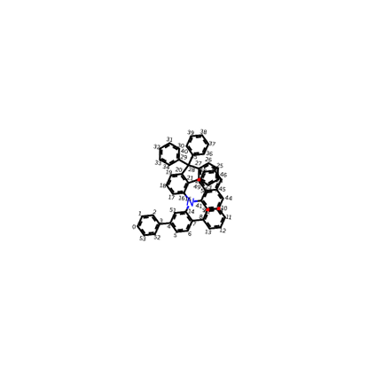 c1ccc(-c2ccc(-c3ccccc3)c(N(c3cccc4c3-c3ccccc3C4(c3ccccc3)c3ccccc3)c3cccc4ccccc34)c2)cc1